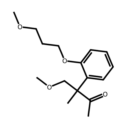 COCCCOc1ccccc1C(C)(COC)C(C)=O